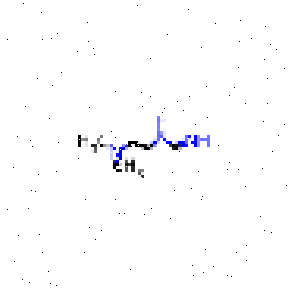 CN(C)CCNC=N